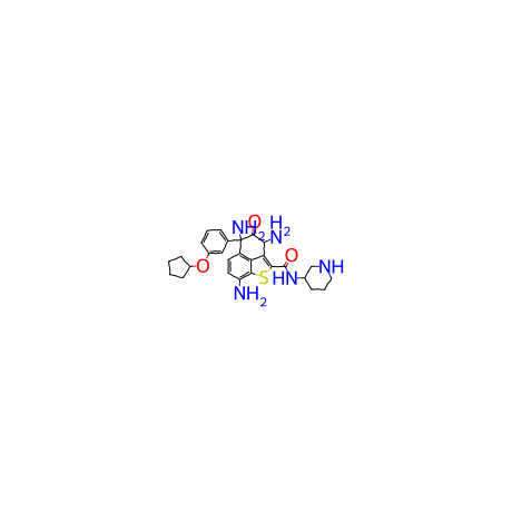 Nc1ccc2c3c(c(C(=O)NC4CCCNC4)sc13)C(N)C(=O)C2(N)c1cccc(OC2CCCC2)c1